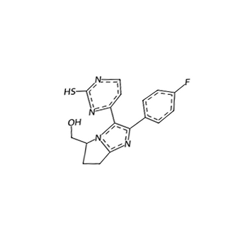 OCC1CCc2nc(-c3ccc(F)cc3)c(-c3ccnc(S)n3)n21